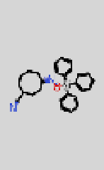 N#CC1CCCC/C(=N/O[Si](c2ccccc2)(c2ccccc2)c2ccccc2)CC1